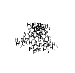 CC(C)(C)c1ccc2c3ccc(C(C)(C)C)cc3n(-c3cc(-c4cc(F)c(F)c(F)c4F)cc(-n4c5cc(C(C)(C)C)ccc5c5ccc(C(C)(C)C)cc54)c3C(F)(F)F)c2c1